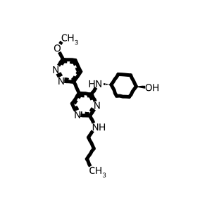 CCCCNc1ncc(-c2ccc(OC)nn2)c(N[C@H]2CC[C@H](O)CC2)n1